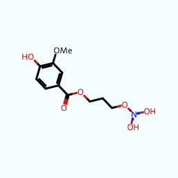 COc1cc(C(=O)OCCCON(O)O)ccc1O